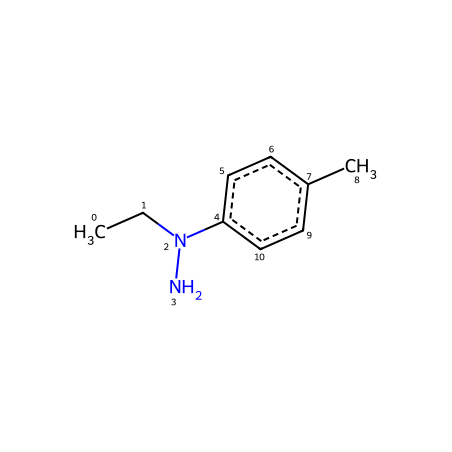 CCN(N)c1ccc(C)cc1